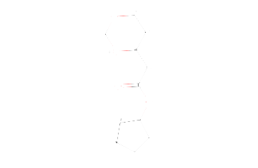 O=C(CC1CCOCO1)OC1CCCC1